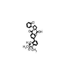 Cc1c(-c2ccc(C(=O)N3[C@@H](c4ccccc4Cl)CC[C@H]3C(=O)O)cc2)cccc1N(C)S(C)(=O)=O